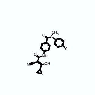 CN(C(=O)c1ccc(NC(=O)C(C#N)=C(O)C2CC2)cc1)c1ccc(Cl)cc1